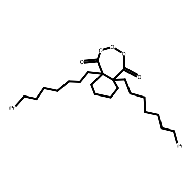 CC(C)CCCCCCCC12CCCCC1(CCCCCCCC(C)C)C(=O)OOOC2=O